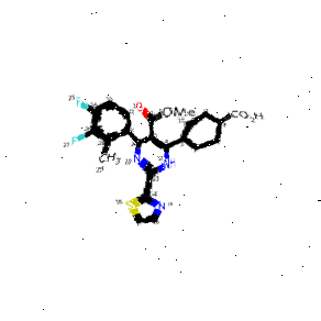 COC(=O)C1=C(C2CCC(C(=O)O)CC2)NC(c2nccs2)=NC1c1ccc(F)c(F)c1C